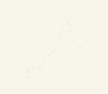 CC[C@@]1(O)C(=O)OCc2c1cc1n(c2=O)Cc2c-1nc1cc(F)c(C)c3c1c2[C@@H](NC(=O)[C@H]1C[C@@H](OCNC(=O)CNC(=O)[C@H](CCC(=O)O)NC(=O)CN)C1)CC3